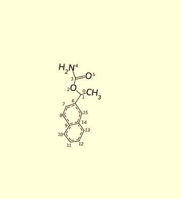 CC(OC(N)=O)c1ccc2ccccc2c1